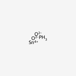 P.[O-2].[O-2].[Sn+4]